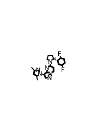 Cc1cc(C)n(-c2cnn3ccc(N4CCC[C@@H]4c4cc(F)ccc4F)nc23)n1